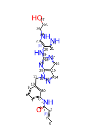 C/C=C/C(=O)Nc1cccc(Cn2ncc3cnc(N/C(C=N)=C/NCCO)nc32)c1